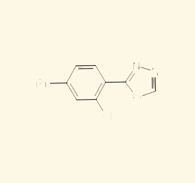 CC(C)c1ccc(-c2nnco2)c(Cl)c1